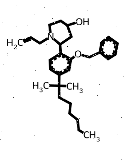 C=CCN1CCC(O)CC1c1ccc(C(C)(C)CCCCCC)cc1OCc1ccccc1